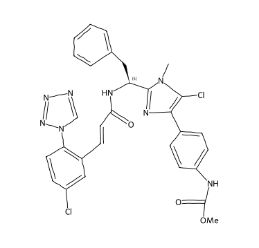 COC(=O)Nc1ccc(-c2nc([C@H](Cc3ccccc3)NC(=O)C=Cc3cc(Cl)ccc3-n3cnnn3)n(C)c2Cl)cc1